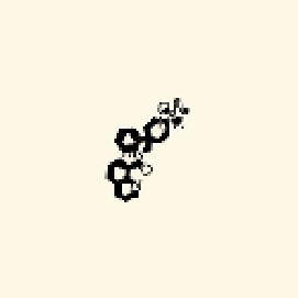 CN(C)S(=O)(=O)N1CCC(CNC(=O)c2cccc3cccnc23)(c2ccccc2)CC1